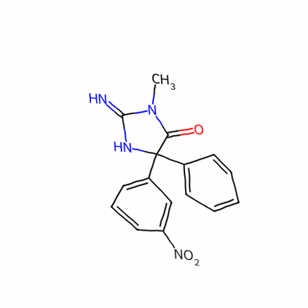 CN1C(=N)NC(c2ccccc2)(c2cccc([N+](=O)[O-])c2)C1=O